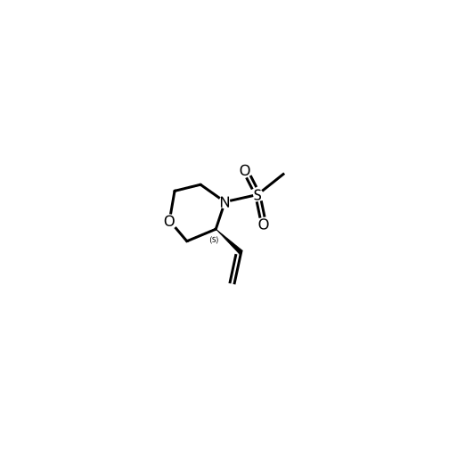 C=C[C@H]1COCCN1S(C)(=O)=O